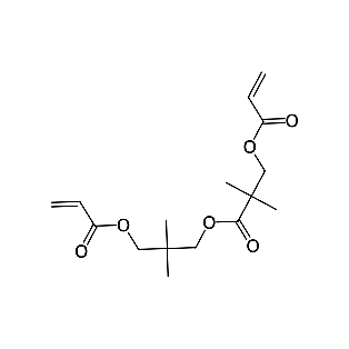 C=CC(=O)OCC(C)(C)COC(=O)C(C)(C)COC(=O)C=C